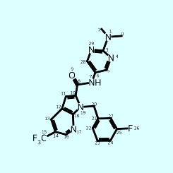 CN(C)c1ncc(NC(=O)c2cc3cc(C(F)(F)F)cnc3n2Cc2cccc(F)c2)cn1